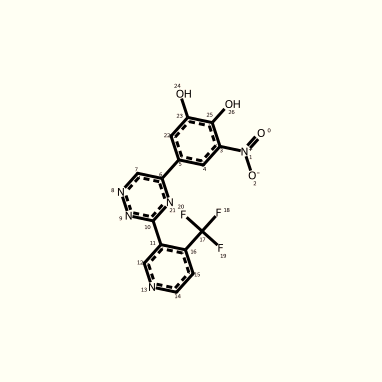 O=[N+]([O-])c1cc(-c2cnnc(-c3cnccc3C(F)(F)F)n2)cc(O)c1O